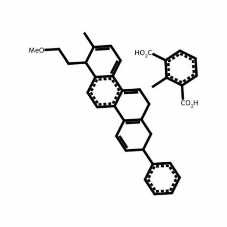 COCCC1C(C)=CC=c2c1ccc1c2=CCC2=C1C=CC(c1ccccc1)C2.Cc1c(C(=O)O)cccc1C(=O)O